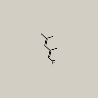 CC(C)=C/C(C)=C/F